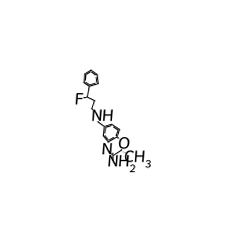 C[C@H]1Oc2ccc(CNCCC(F)c3ccccc3)cc2N=C1N